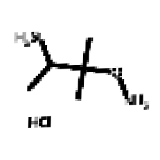 CC([SiH3])C(C)(C)ON.Cl